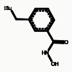 CC(C)(C)Cc1cccc(C(=O)NO)c1